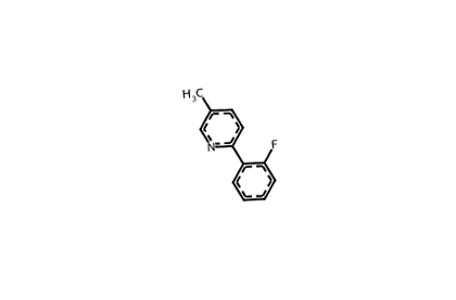 Cc1ccc(-c2ccccc2F)nc1